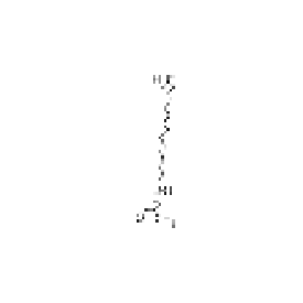 CCCCCCCCCCCCCCCC(=O)OCC(C)CO